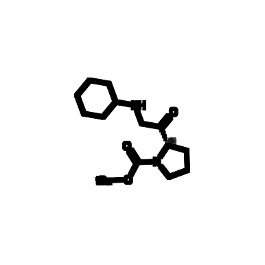 CC(C)(C)OC(=O)N1CCC[C@H]1C(=O)CNC1CCCCC1